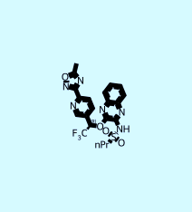 CCCS(=O)(=O)Nc1nc2ccccc2nc1O[C@H](c1ccc(-c2noc(C)n2)nc1)C(F)(F)F